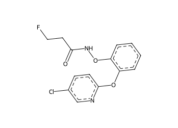 O=C(CCF)NOc1ccccc1Oc1ccc(Cl)cn1